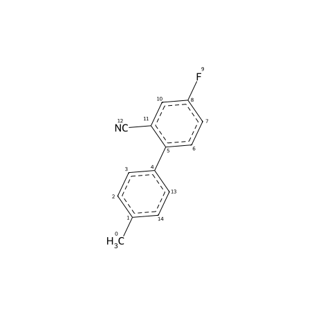 Cc1ccc(-c2ccc(F)cc2C#N)cc1